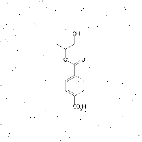 CC(CO)OC(=O)c1ccc(C(=O)O)cc1